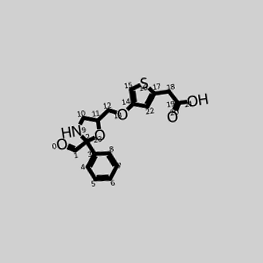 O=CC1(c2ccccc2)NCC(COc2csc(CC(=O)O)c2)O1